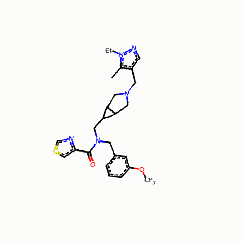 CCn1ncc(CN2CC3C(C2)C3CN(Cc2cccc(OC(F)(F)F)c2)C(=O)c2cscn2)c1C